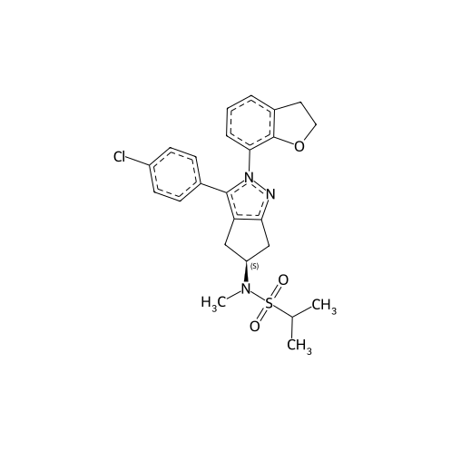 CC(C)S(=O)(=O)N(C)[C@@H]1Cc2nn(-c3cccc4c3OCC4)c(-c3ccc(Cl)cc3)c2C1